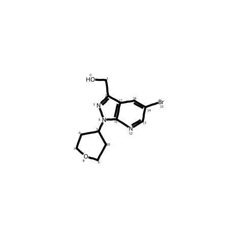 OCc1nn(C2CCOCC2)c2ncc(Br)cc12